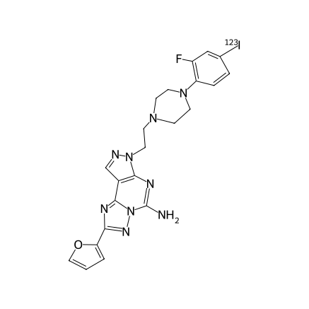 Nc1nc2c(cnn2CCN2CCN(c3ccc([123I])cc3F)CC2)c2nc(-c3ccco3)nn12